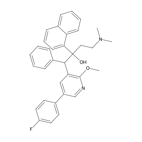 COc1ncc(-c2ccc(F)cc2)cc1C(c1ccccc1)C(O)(CCN(C)C)c1cccc2ccccc12